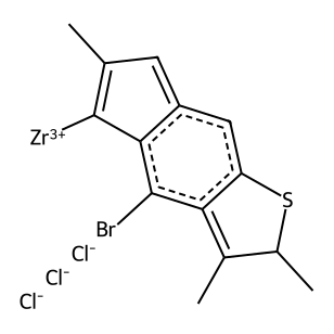 CC1=[C]([Zr+3])c2c(Br)c3c(cc2=C1)SC(C)C=3C.[Cl-].[Cl-].[Cl-]